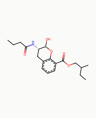 CCCC(=O)N[C@H]1Cc2cccc(C(=O)OCC(C)CC)c2OB1O